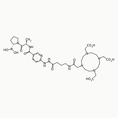 C[C@@H](NC(=O)c1ccc(NNC(=O)CCCNC(=O)CN2CCN(CC(=O)O)CCN(CC(=O)O)CCN(CC(=O)O)CC2)nc1)C(=O)N1CCC[C@H]1B(O)O